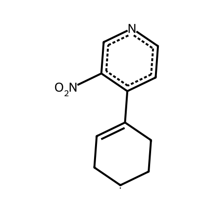 O=[N+]([O-])c1cnccc1C1=CC[CH]CC1